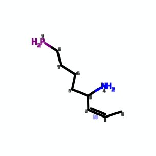 C/C=C\C(N)CCCCP